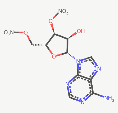 Nc1ncnc2c1ncn2[C@@H]1O[C@H](CO[N+](=O)[O-])[C@@H](O[N+](=O)[O-])[C@H]1O